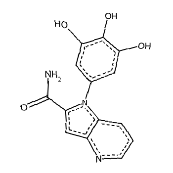 NC(=O)c1cc2ncccc2n1-c1cc(O)c(O)c(O)c1